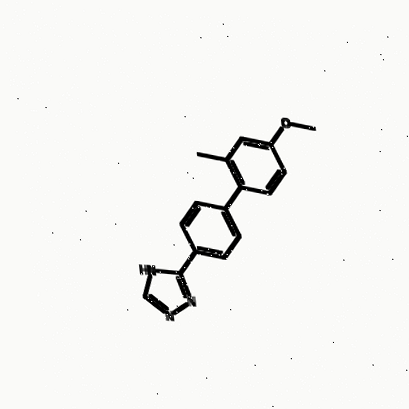 COc1ccc(-c2ccc(-c3nnc[nH]3)cc2)c(C)c1